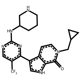 O=c1c2[nH]cc(-c3nc(NC4CCCNC4)ncc3C(F)(F)F)c2ccn1CC1CC1